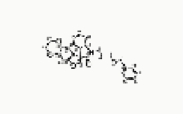 O=C1N(CCCOCc2ccccc2)c2ccccc2C12COc1cc3c(cc12)OCCO3